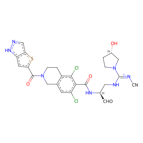 N#C/N=C(\NC[C@@H](C=O)NC(=O)c1c(Cl)cc2c(c1Cl)CCN(C(=O)c1cc3[nH]ncc3s1)C2)N1CC[C@H](O)C1